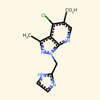 Cc1nn(Cc2ncc[nH]2)c2ncc(C(=O)O)c(Cl)c12